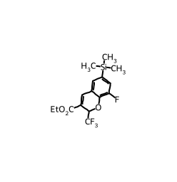 CCOC(=O)C1=Cc2cc([Si](C)(C)C)cc(F)c2OC1C(F)(F)F